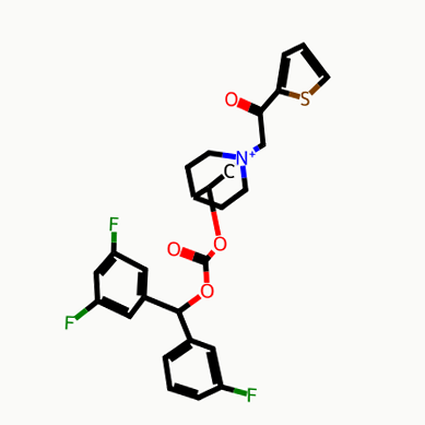 O=C(OC(c1cccc(F)c1)c1cc(F)cc(F)c1)OC1C[N+]2(CC(=O)c3cccs3)CCC1CC2